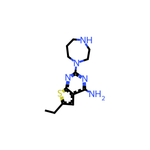 CCc1cc2c(N)nc(N3CCCNCC3)nc2s1